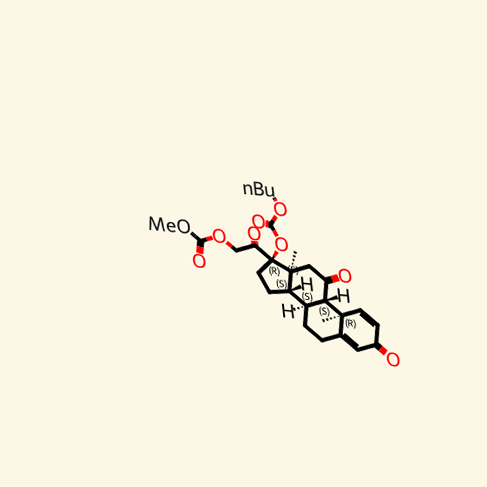 CCCCOC(=O)O[C@]1(C(=O)COC(=O)OC)CC[C@H]2[C@@H]3CCC4=CC(=O)C=C[C@]4(C)[C@H]3C(=O)C[C@@]21C